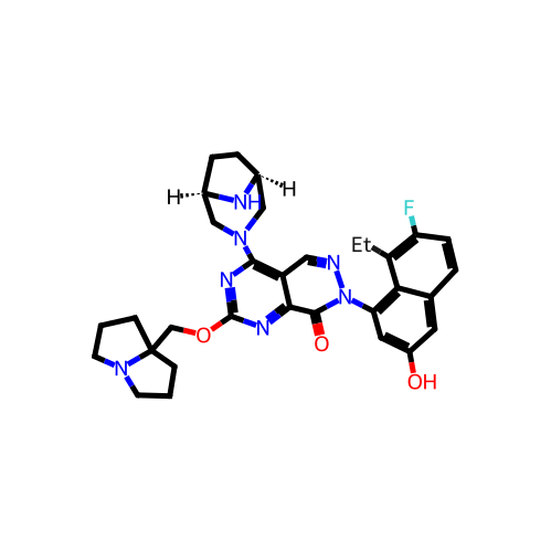 CCc1c(F)ccc2cc(O)cc(-n3ncc4c(N5C[C@H]6CC[C@@H](C5)N6)nc(OCC56CCCN5CCC6)nc4c3=O)c12